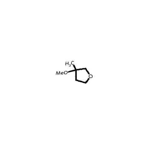 COC1(C)CCOC1